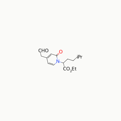 CCOC(=O)C(CCC(C)C)n1ccc(CC=O)cc1=O